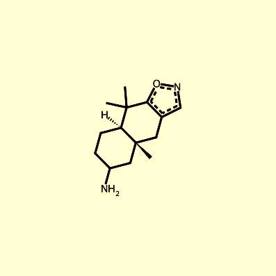 CC1(C)c2oncc2C[C@]2(C)CC(N)CC[C@@H]12